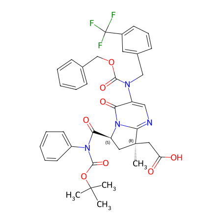 CC(C)(C)OC(=O)N(C(=O)[C@@H]1C[C@](C)(CC(=O)O)c2ncc(N(Cc3cccc(C(F)(F)F)c3)C(=O)OCc3ccccc3)c(=O)n21)c1ccccc1